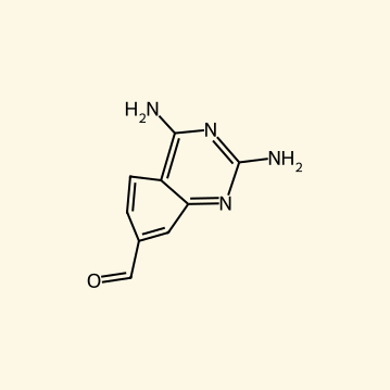 Nc1nc(N)c2ccc(C=O)cc2n1